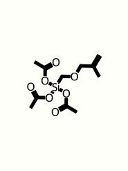 C=C(C)COC[Si](OC(C)=O)(OC(C)=O)OC(C)=O